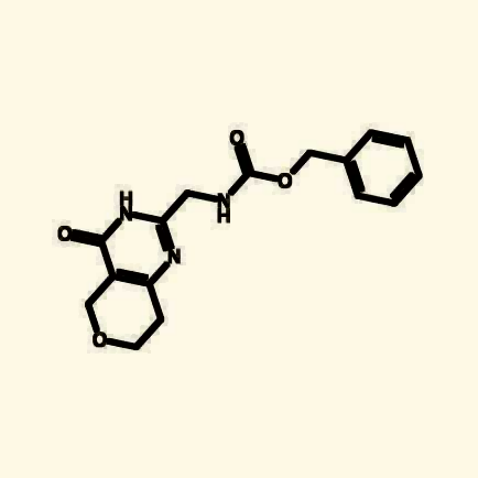 O=C(NCc1nc2c(c(=O)[nH]1)COCC2)OCc1ccccc1